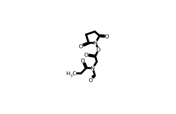 CCC(=O)N(C=O)CC(=O)ON1C(=O)CCC1=O